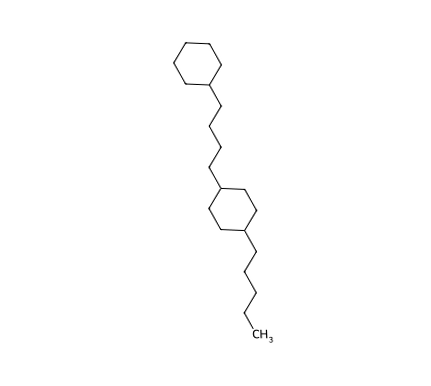 CCCCCC1CCC(CCCCC2CCCCC2)CC1